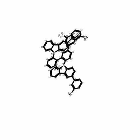 N#Cc1cccc(-c2ccc3c(c2)c2ccccc2n3-c2ccc(-c3cc(C(F)(F)F)cc(C(F)(F)F)c3)cc2-c2c(C#N)cccc2-n2c3ccccc3c3cc(-c4cccc(C#N)c4)ccc32)c1